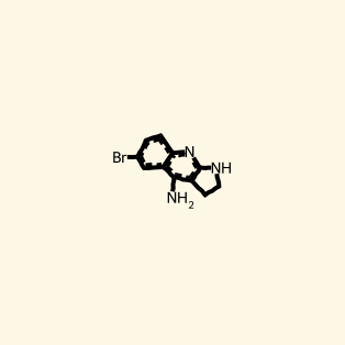 Nc1c2c(nc3ccc(Br)cc13)NCC2